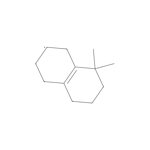 CC1(C)CCCC2=C1C[CH]CC2